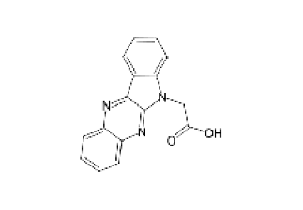 O=C(O)Cn1c2ccccc2c2nc3ccccc3nc21